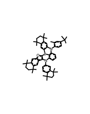 Cc1cc(C(C)(C)C)ccc1N1c2cc3c(cc2B2c4oc5cc6c(cc5c4N(c4ccc5c(c4)C(C)(C)CCC5(C)C)c4cccc1c42)C(C)(C)CCC6(C)C)C(C)(C)CCC3(C)C